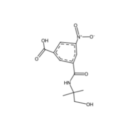 CC(C)(CO)NC(=O)c1cc(C(=O)O)cc([N+](=O)[O-])c1